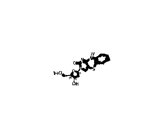 O=c1nc2c(cn1[C@H]1C[C@H](O)[C@@H](CO)O1)Sc1ccccc1N2